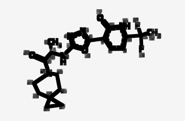 C[C@H](Nc1nnc(-c2ccc(C(C)(F)F)[nH]c2=O)o1)C(=O)N1CCC2(CC1)CC2